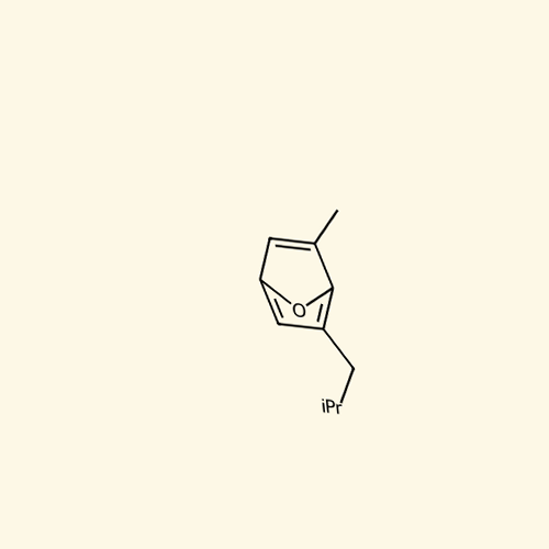 Cc1cc2cc(CC(C)C)c1o2